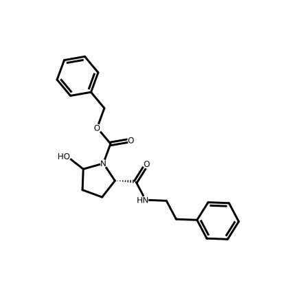 O=C(NCCc1ccccc1)[C@@H]1CCC(O)N1C(=O)OCc1ccccc1